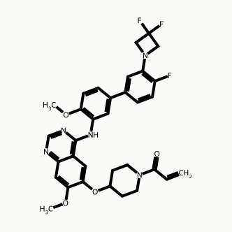 C=CC(=O)N1CCC(Oc2cc3c(Nc4cc(-c5ccc(F)c(N6CC(F)(F)C6)c5)ccc4OC)ncnc3cc2OC)CC1